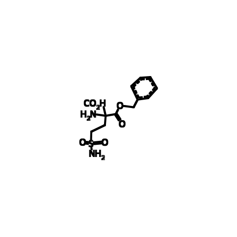 NC(CCS(N)(=O)=O)(C(=O)O)C(=O)OCc1ccccc1